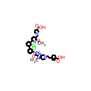 COc1nc(-c2cccc(-c3cccc(NC(=O)c4nc5c(n4C)CCN(CCC46CCC(C(=O)O)(CC4)C6)C5)c3Cl)c2Cl)ccc1CN1CC[C@H](C(=O)O)C1